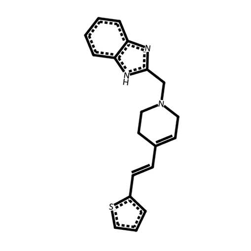 C(=Cc1cccs1)C1=CCN(Cc2nc3ccccc3[nH]2)CC1